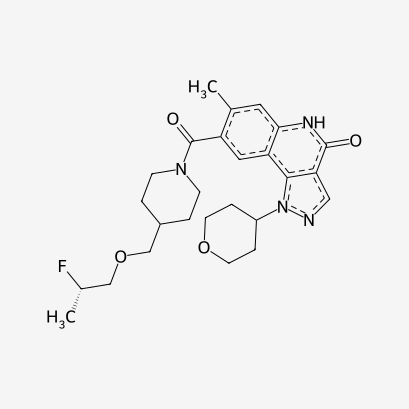 Cc1cc2[nH]c(=O)c3cnn(C4CCOCC4)c3c2cc1C(=O)N1CCC(COC[C@H](C)F)CC1